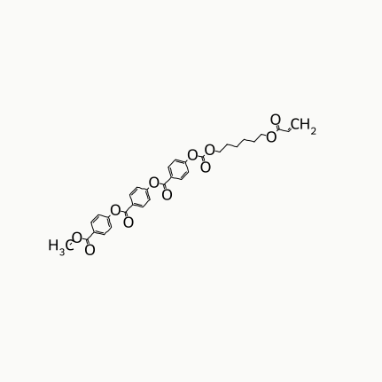 C=CC(=O)OCCCCCCOC(=O)Oc1ccc(C(=O)Oc2ccc(C(=O)Oc3ccc(C(=O)OC)cc3)cc2)cc1